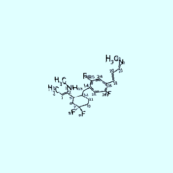 C/C=C(\NC)C1CC(F)(F)CCC1Cc1cc(F)c(/C=C/C=N\C)cc1F